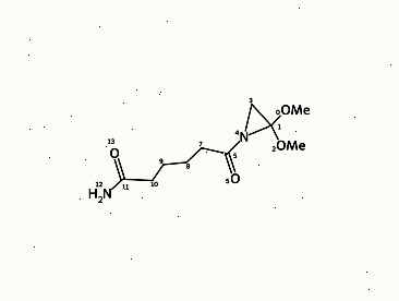 COC1(OC)CN1C(=O)CCCCC(N)=O